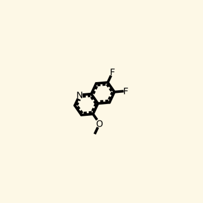 COc1ccnc2cc(F)c(F)cc12